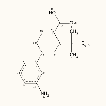 CC(C)(C)C1CC(c2cccc(N)c2)CCN1C(=O)O